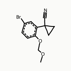 COCOc1ccc(Br)cc1C1(C#N)CC1